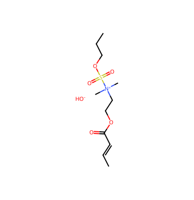 CC=CC(=O)OCC[N+](C)(C)S(=O)(=O)OCCC.[OH-]